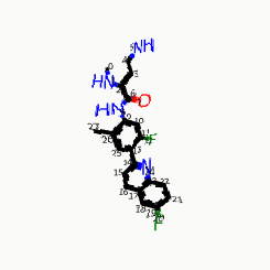 CN/C(=C\C=N)C(=O)Nc1cc(F)c(-c2ccc3cc(F)ccc3n2)cc1C